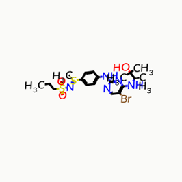 CCCS(=O)(=O)N=[S@@](C)c1ccc(Nc2ncc(Br)c(N[C@H](C)C(C)(C)O)n2)cc1